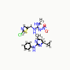 CN/C(=N\[N+](=O)[O-])NCc1cnc(Cl)s1.Cc1cc(C2CC2)nc(Nc2ccccc2)n1